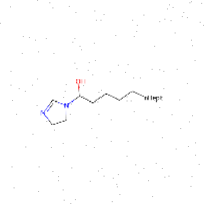 CCCCCCCCCCCC(O)N1C=NCC1